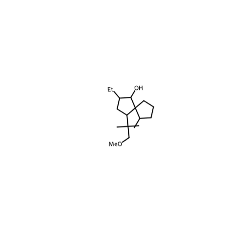 CCC1CC(C(C)(C)COC)C2(CCCC2C)C1O